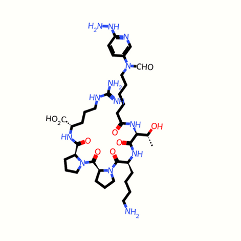 C[C@@H](O)[C@H](NC(=O)CCCCCN(C=O)c1ccc(NN)nc1)C(=O)N[C@@H](CCCCN)C(=O)N1CCC[C@H]1C(=O)N1CCC[C@H]1C(=O)N[C@@H](CCCNC(=N)N)C(=O)O